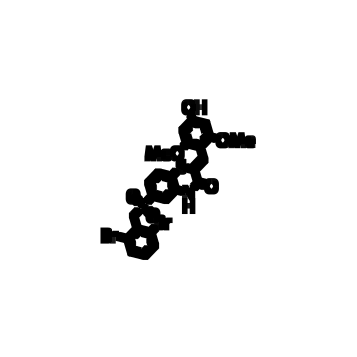 COc1cc(O)cc(OC)c1/C=C1\Sc2ccc(S(=O)(=O)Cc3c(Br)cccc3Br)cc2NC1=O